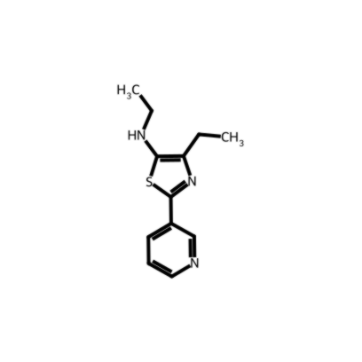 CCNc1sc(-c2cccnc2)nc1CC